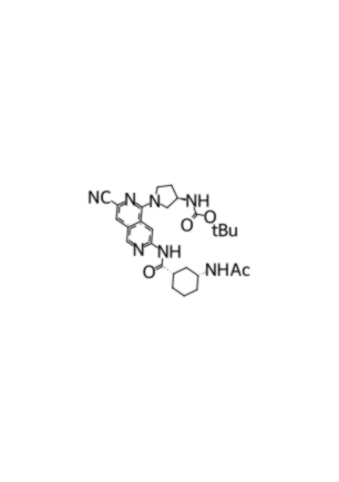 CC(=O)N[C@@H]1CCC[C@H](C(=O)Nc2cc3c(N4CC[C@@H](NC(=O)OC(C)(C)C)C4)nc(C#N)cc3cn2)C1